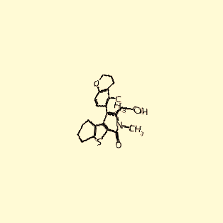 Cc1c(-c2c(CO)n(C)c(=O)c3sc4c(c23)CCCC4)ccc2c1CCCO2